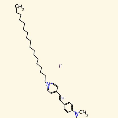 CCCCCCCCCCCCCCCCCC[n+]1ccc(/C=C/c2ccc(N(C)C)cc2)cc1.[I-]